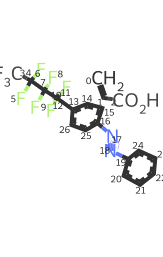 C=CC(=O)O.FC(F)(F)C(F)(F)C(F)(F)C(F)(F)c1ccc(/N=N/c2ccccc2)cc1